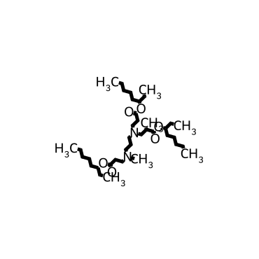 CCCCCC(CC)OC(=O)CCN(C)CCCN(CCC(=O)OC(CC)CCCCC)CC(C)C(=O)OC(CC)CCCCC